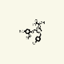 CCOc1cc(C#N)ccc1OCC1CN(Cc2ccc(Cl)cc2)CCO1.O=C(O)C(=O)O